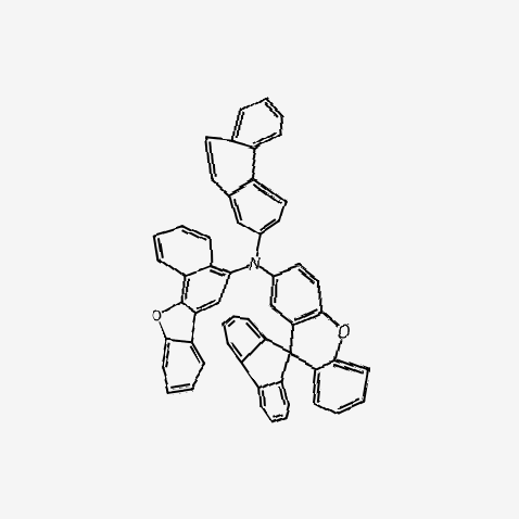 c1ccc2c(c1)Oc1ccc(N(c3ccc4c(ccc5ccccc54)c3)c3cc4c5ccccc5oc4c4ccccc34)cc1C21c2ccccc2-c2ccccc21